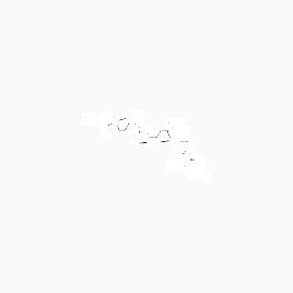 COC(=O)c1ccc(Nc2nccc(-c3ccc(OC4CCN(C(=O)[C@@H](C)O)CC4)c(N)c3)n2)cc1